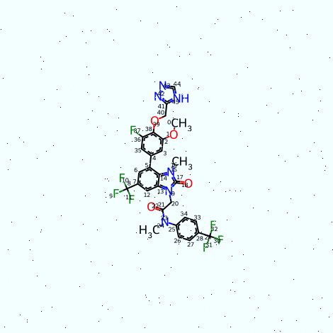 COc1cc(-c2cc(C(F)(F)F)cc3c2n(C)c(=O)n3CC(=O)N(C)c2ccc(C(F)(F)F)cc2)cc(F)c1OCc1nnc[nH]1